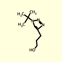 CC(C)(C)n1cc(CCCO)nn1